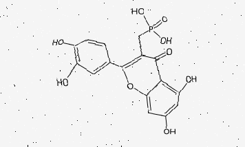 O=c1c(CP(=O)(O)O)c(-c2ccc(O)c(O)c2)oc2cc(O)cc(O)c12